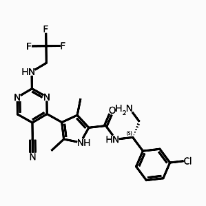 Cc1[nH]c(C(=O)N[C@H](CN)c2cccc(Cl)c2)c(C)c1-c1nc(NCC(F)(F)F)ncc1C#N